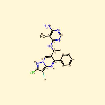 C[C@H](Nc1ncnc(N)c1C#N)c1cn2nc(Cl)c(F)c2nc1-c1ccccc1